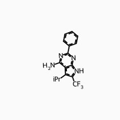 CC(C)c1c(C(F)(F)F)[nH]c2nc(-c3ccccc3)nc(N)c12